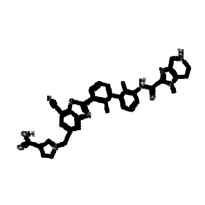 Cc1c(NC(=O)c2nc3c(n2C)CCNC3)cccc1-c1cccc(-c2nc3cc(CN4CCC(C(=O)O)C4)cc(C#N)c3o2)c1C